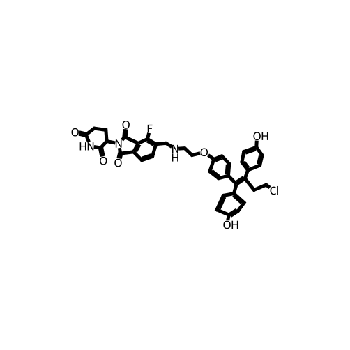 O=C1CCC(N2C(=O)c3ccc(CNCCOc4ccc(C(=C(CCCl)c5ccc(O)cc5)c5ccc(O)cc5)cc4)c(F)c3C2=O)C(=O)N1